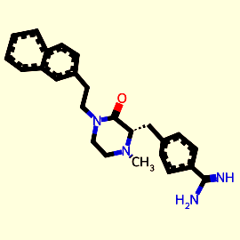 CN1CCN(CCc2ccc3ccccc3c2)C(=O)[C@@H]1Cc1ccc(C(=N)N)cc1